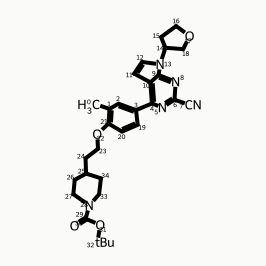 Cc1cc(-c2nc(C#N)nc3c2ccn3C2CCOC2)ccc1OCCC1CCN(C(=O)OC(C)(C)C)CC1